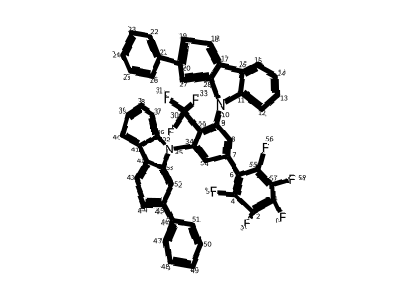 Fc1c(F)c(F)c(-c2cc(-n3c4ccccc4c4ccc(-c5ccccc5)cc43)c(C(F)(F)F)c(-n3c4ccccc4c4ccc(-c5ccccc5)cc43)c2)c(F)c1F